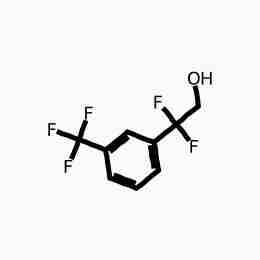 OCC(F)(F)c1cccc(C(F)(F)F)c1